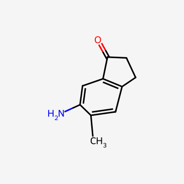 Cc1cc2c(cc1N)C(=O)CC2